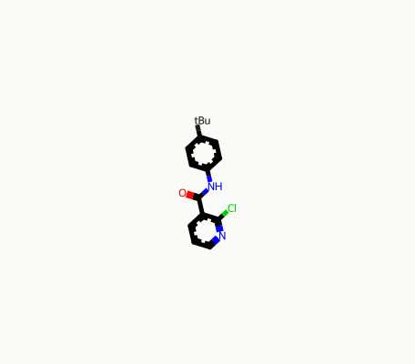 CC(C)(C)c1ccc(NC(=O)c2cccnc2Cl)cc1